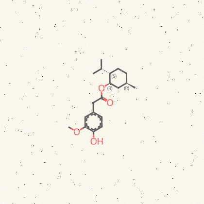 COc1cc(CC(=O)O[C@@H]2C[C@H](C)CC[C@H]2C(C)C)ccc1O